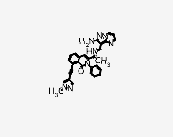 C[C@H](NCc1c(N)nn2cccnc12)c1cc2cccc(C#Cc3cnn(C)c3)c2c(=O)n1-c1ccccc1